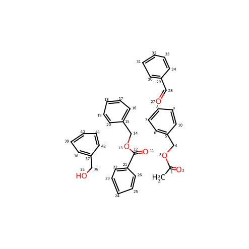 CC(=O)OCc1ccccc1.O=C(OCc1ccccc1)c1ccccc1.O=Cc1ccccc1.OCc1ccccc1